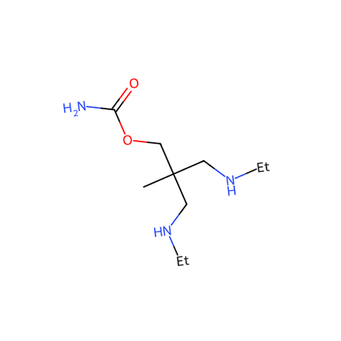 CCNCC(C)(CNCC)COC(N)=O